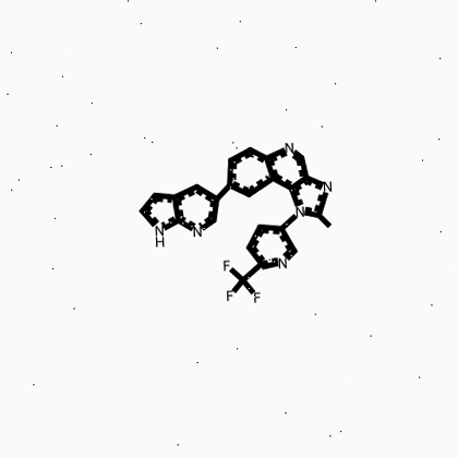 Cc1nc2cnc3ccc(-c4cnc5[nH]ccc5c4)cc3c2n1-c1ccc(C(F)(F)F)nc1